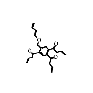 C=CCCOCc1cc(C(=O)CC=C)c(C(=O)CC=C)cc1C(=O)CC=C